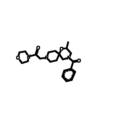 CC1CN(C(=O)c2ccccc2)CC2(CCN(CC(=O)N3CCOCC3)CC2)O1